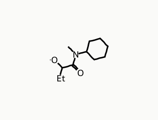 CCC([O])C(=O)N(C)C1CCCCC1